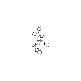 O=C(NC[C@@H]1CCN(CC(c2ccccc2)c2ccccc2)C(=O)[C@H](CCN2CCCCC2)N1)c1ccc2ccccc2c1